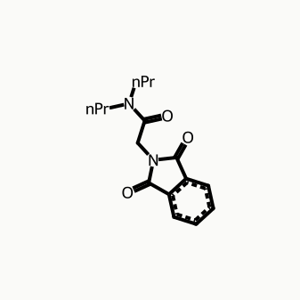 CCCN(CCC)C(=O)CN1C(=O)c2ccccc2C1=O